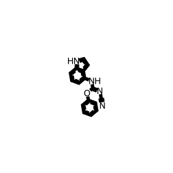 N#C/N=C(/Nc1cccc2[nH]ccc12)Oc1ccccc1